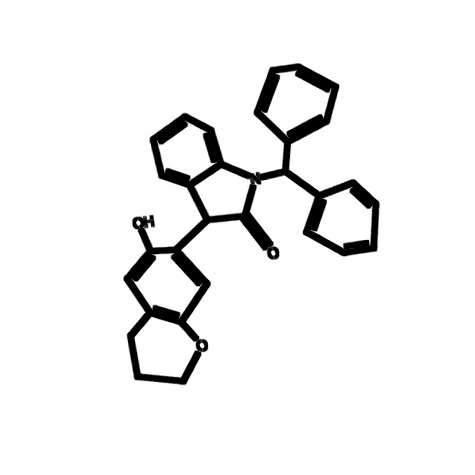 O=C1C(c2cc3c(cc2O)CCCO3)c2ccccc2N1C(c1ccccc1)c1ccccc1